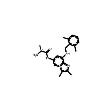 Cc1cccc(C)c1CNc1cc(NC(=O)[C@H](C)N)cn2c(C)c(C)nc12